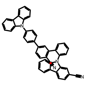 N#Cc1ccc2c3ccccc3n(-c3ccccc3-c3cc(-c4ccc(-n5c6ccccc6c6ccccc65)cc4)ccc3C#N)c2c1